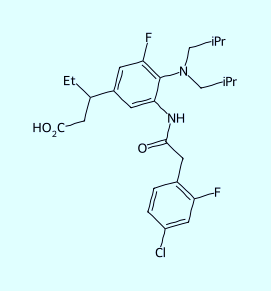 CCC(CC(=O)O)c1cc(F)c(N(CC(C)C)CC(C)C)c(NC(=O)Cc2ccc(Cl)cc2F)c1